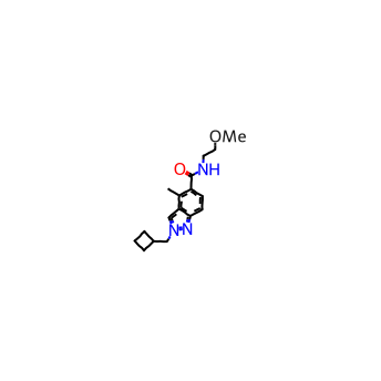 COCCNC(=O)c1ccc2nn(CC3CCC3)cc2c1C